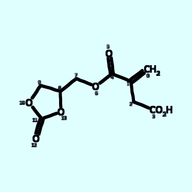 C=C(CC(=O)O)C(=O)OCC1COC(=O)O1